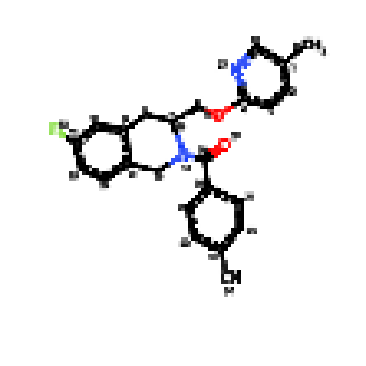 Cc1ccc(OC[C@@H]2Cc3cc(F)ccc3CN2C(=O)c2ccc(C#N)cc2)nc1